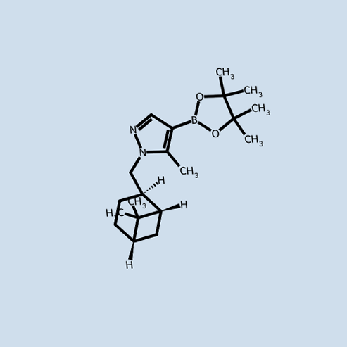 Cc1c(B2OC(C)(C)C(C)(C)O2)cnn1C[C@@H]1CC[C@H]2C[C@@H]1C2(C)C